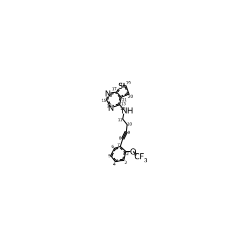 FC(F)(F)Oc1ccccc1C#CCCNc1ncnc2sccc12